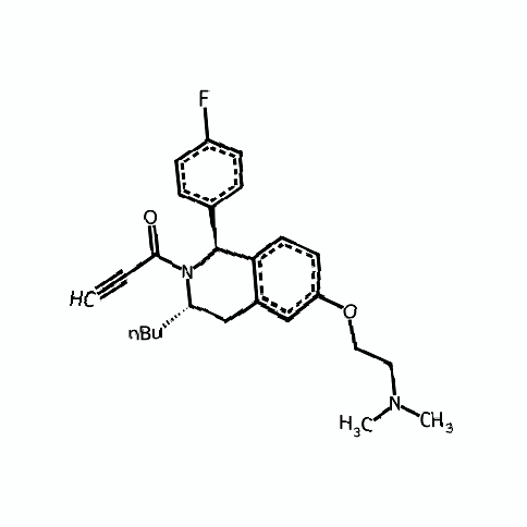 C#CC(=O)N1[C@@H](CCCC)Cc2cc(OCCN(C)C)ccc2[C@@H]1c1ccc(F)cc1